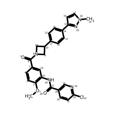 COc1ccc(C(=O)N2CC(c3ccc(-c4ccn(C)n4)cc3)C2)cc1NC(=O)c1ccc(Cl)nc1